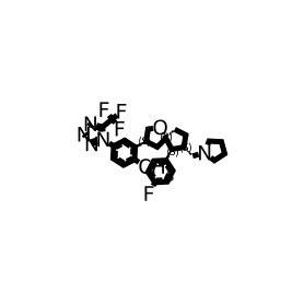 Cc1ccc(-n2nnnc2C(F)(F)F)cc1[C@H]1CO[C@]2(CC[C@H](CN3CCCC3)[C@H]2c2ccc(F)cc2)C1